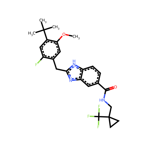 COc1cc(Cc2nc3cc(C(=O)NCC4(C(F)(F)F)CC4)ccc3[nH]2)c(F)cc1C(C)(C)C